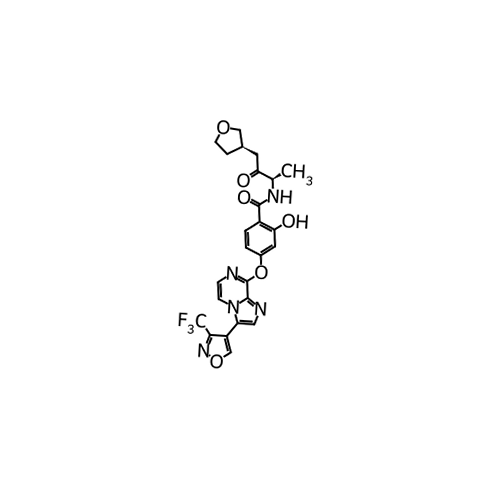 C[C@@H](NC(=O)c1ccc(Oc2nccn3c(-c4conc4C(F)(F)F)cnc23)cc1O)C(=O)C[C@H]1CCOC1